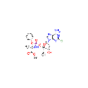 C#C[C@]1(COP(=O)(N[C@H](C)C(=O)OC(C)C)Oc2ccccc2)O[C@@H](n2cnc3c(N)nc(Cl)nc32)C[C@@H]1O